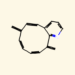 C=c1ccccc(=C)c2ncccc2cc1